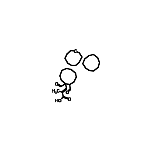 C1CCCCCCCCC1.C1CCCCCCCCC1.CC(=CC1(C=O)CCCCCCCCC1C=O)C(=O)O